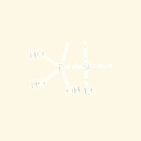 CC[Si](C)(C)P(C)(O)(O)O